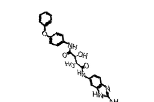 Nc1nc2ccc(NC(=O)[C@H](O)[C@@H](O)C(=O)Nc3ccc(Oc4ccccc4)cc3)cc2[nH]1